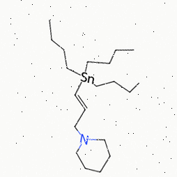 CCC[CH2][Sn]([CH]=CCN1CCCCC1)([CH2]CCC)[CH2]CCC